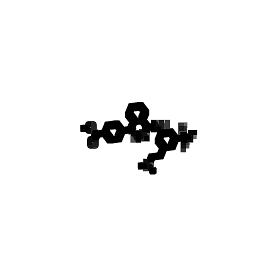 COC(=O)c1ccc(-c2nnc(Nc3cc(CCN(C)C)cc(C(F)(F)F)c3)c3ccccc23)cc1